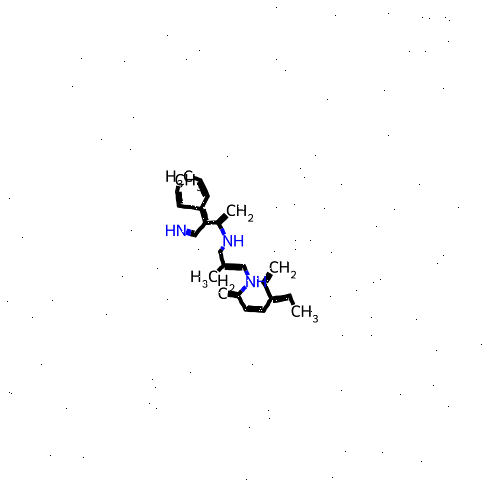 C=CC(/C=C\C(=C)N/C=C(\C)CNC(=C)C(C=N)=C(/C=C\C)/C=C\C)=C/C